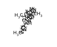 CCC(C)n1c(=O)c(NCc2ccc(SC)nc2)nc2cnc(-c3c(C)ncnc3C3CC3)nc21